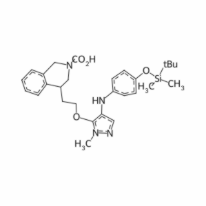 Cn1ncc(Nc2ccc(O[Si](C)(C)C(C)(C)C)cc2)c1OCCC1CN(C(=O)O)Cc2ccccc21